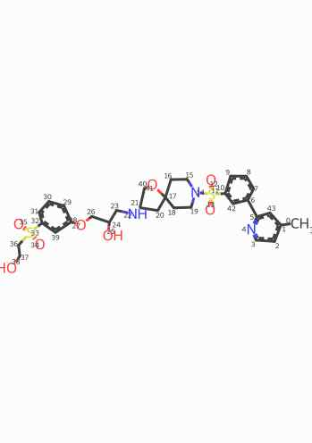 Cc1ccnc(-c2cccc(S(=O)(=O)N3CCC4(CC3)CC(NCC(O)COc3cccc(S(=O)(=O)CCO)c3)CO4)c2)c1